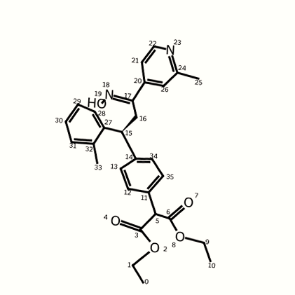 CCOC(=O)C(C(=O)OCC)c1ccc([C@H](C/C(=N\O)c2ccnc(C)c2)c2ccccc2C)cc1